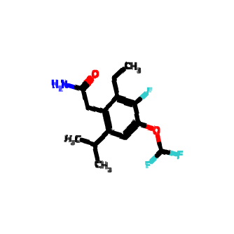 CCc1c(F)c(OC(F)F)cc(C(C)C)c1CC(N)=O